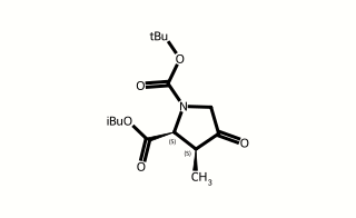 CC(C)COC(=O)[C@@H]1[C@H](C)C(=O)CN1C(=O)OC(C)(C)C